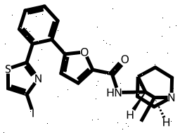 C[C@H]1[C@H](NC(=O)c2ccc(-c3ccccc3-c3nc(I)cs3)o2)C2CCN1CC2